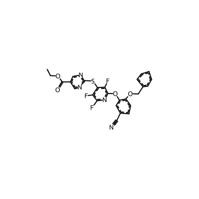 CCOC(=O)c1cnc(Sc2c(F)c(F)nc(Oc3cc(C#N)ccc3OCc3ccccc3)c2F)nc1